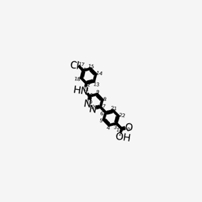 O=C(O)c1ccc(-c2ccc(Nc3cccc(Cl)c3)nn2)cc1